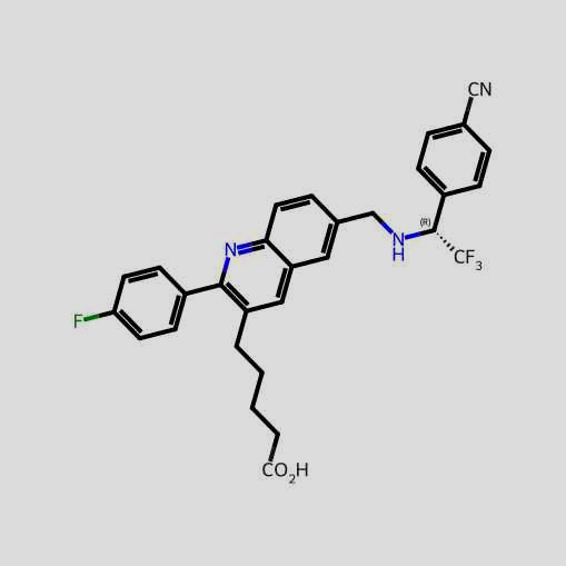 N#Cc1ccc([C@@H](NCc2ccc3nc(-c4ccc(F)cc4)c(CCCCC(=O)O)cc3c2)C(F)(F)F)cc1